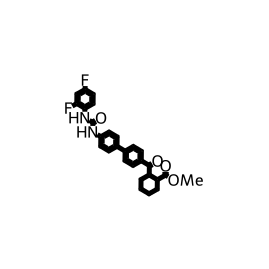 COC(=O)C1CCCCC1C(=O)c1ccc(-c2ccc(NC(=O)Nc3ccc(F)cc3F)cc2)cc1